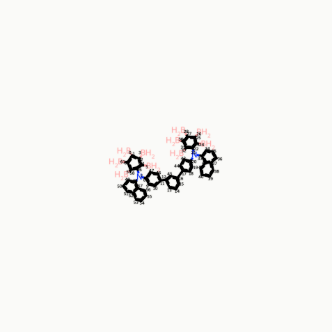 Bc1c(B)c(B)c(N(c2ccc(-c3cccc(-c4ccc(N(c5c(B)c(B)c(B)c(B)c5B)c5cccc6ccccc56)cc4)c3)cc2)c2cccc3ccccc23)c(B)c1B